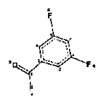 O=C(F)c1cc(F)cc(F)c1